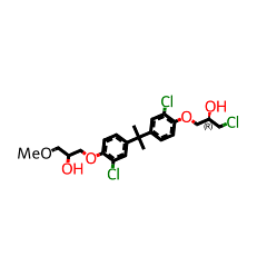 COCC(O)COc1ccc(C(C)(C)c2ccc(OC[C@@H](O)CCl)c(Cl)c2)cc1Cl